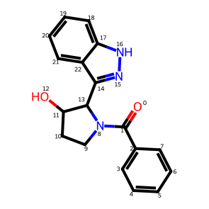 O=C(c1ccccc1)N1CCC(O)C1c1n[nH]c2ccccc12